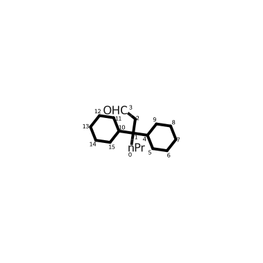 CCCC(CC=O)(C1CCCCC1)C1CCCCC1